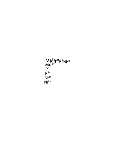 [Mg+2].[Mg+2].[Mg+2].[Ni+2].[Ni+2].[Ni+2].[P-3].[P-3].[P-3].[P-3]